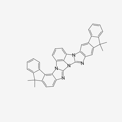 CC1(C)c2ccccc2-c2cc3c(cc21)nc1n3c2cccc3c2n1c1nc2ccc4c(c2n31)-c1ccccc1C4(C)C